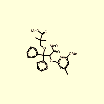 COC(=O)C(Oc1nc(C)cc(OC)n1)C(OCC(C)(C)C(=O)OC)(c1ccccc1)c1ccccc1